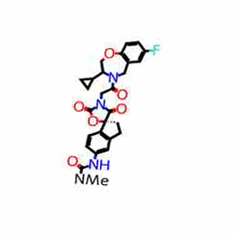 CNC(=O)Nc1ccc2c(c1)CC[C@@]21OC(=O)N(CC(=O)N2Cc3cc(F)ccc3OCC2C2CC2)C1=O